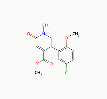 COC(=O)c1cc(=O)n(C)cc1-c1cc(Cl)ccc1OC